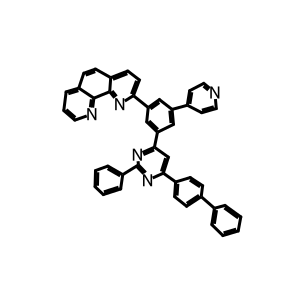 c1ccc(-c2ccc(-c3cc(-c4cc(-c5ccncc5)cc(-c5ccc6ccc7cccnc7c6n5)c4)nc(-c4ccccc4)n3)cc2)cc1